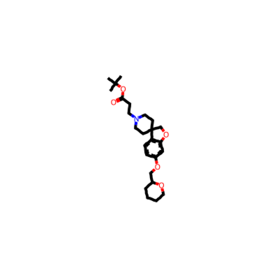 CC(C)(C)OC(=O)CCN1CCC2(CC1)COc1cc(OCC3CCCCO3)ccc12